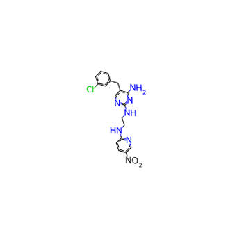 Nc1nc(NCCNc2ccc([N+](=O)[O-])cn2)ncc1Cc1cccc(Cl)c1